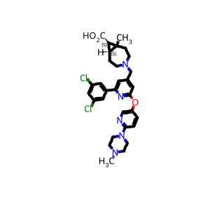 CN1CCN(c2ccc(Oc3cc(CN4CC[C@H]5[C@H](C(=O)O)C5(C)CC4)cc(-c4cc(Cl)cc(Cl)c4)n3)cn2)CC1